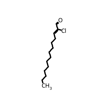 CCCCCCCCCCCC=C(Cl)C=O